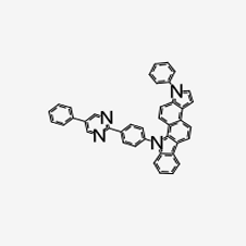 c1ccc(-c2cnc(-c3ccc(-n4c5ccccc5c5ccc6c7ccn(-c8ccccc8)c7ccc6c54)cc3)nc2)cc1